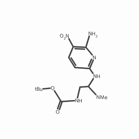 CNC(CNC(=O)OC(C)(C)C)Nc1ccc([N+](=O)[O-])c(N)n1